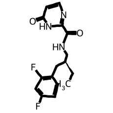 CC[C@H](CNC(=O)c1nccc(=O)[nH]1)Cc1ccc(F)cc1F